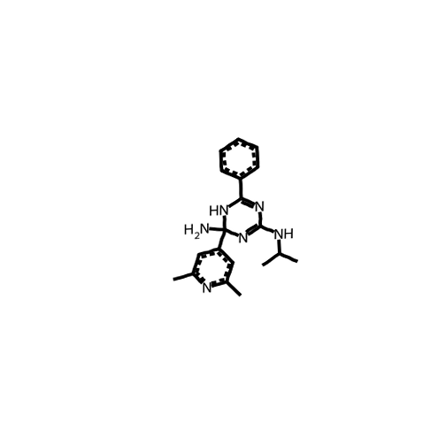 Cc1cc(C2(N)N=C(NC(C)C)N=C(c3ccccc3)N2)cc(C)n1